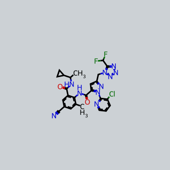 Cc1cc(C#N)cc(C(=O)NC(C)C2CC2)c1NC(=O)c1cc(Cn2nnnc2C(F)F)nn1-c1ncccc1Cl